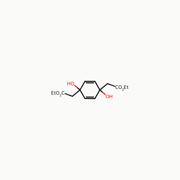 CCOC(=O)CC1(O)C=CC(O)(CC(=O)OCC)C=C1